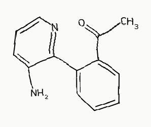 CC(=O)c1ccccc1-c1ncccc1N